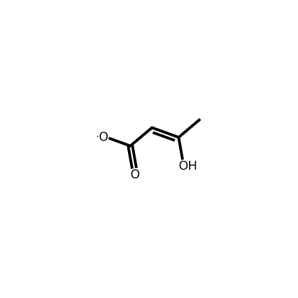 CC(O)=CC([O])=O